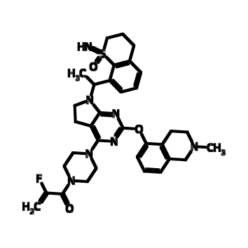 C=C(F)C(=O)N1CCN(c2nc(Oc3cccc4c3CCN(C)C4)nc3c2CCN3C(C)c2cccc3c2S(=N)(=O)CCC3)CC1